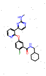 CNc1nccc(-c2cccnc2Oc2ccc(F)c(C(=O)N[C@H](C)C3CCCCC3)c2)n1